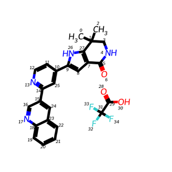 CC1(C)CNC(=O)c2cc(-c3ccnc(-c4cnc5ccccc5c4)c3)[nH]c21.O=C(O)C(F)(F)F